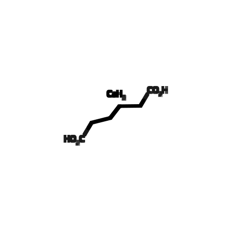 O=C(O)CCCCC(=O)O.[CaH2]